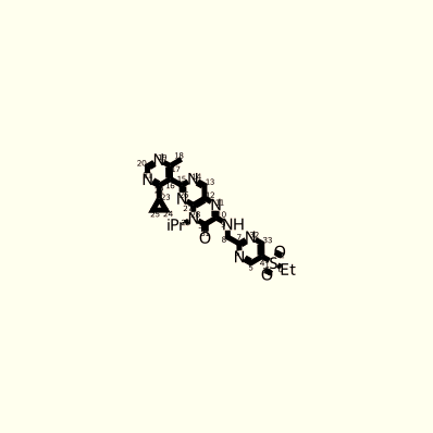 CCS(=O)(=O)c1cnc(CNc2nc3cnc(-c4c(C)ncnc4C4CC4)nc3n(C(C)C)c2=O)nc1